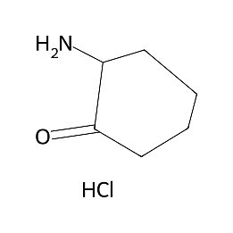 Cl.NC1CCCCC1=O